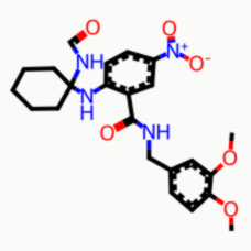 COc1ccc(CNC(=O)c2cc([N+](=O)[O-])ccc2NC2(NC=O)CCCCC2)cc1OC